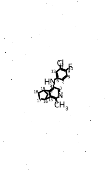 Cc1ncc(Nc2ccc(F)c(Cl)c2)c2c1C1CCC2C1